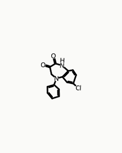 O=C1CN(c2ccccc2)c2cc(Cl)ccc2NC1=O